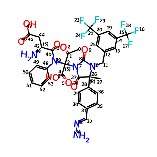 CC(=O)[C@@](C(=O)O)(N1C(=O)N(Cc2cc(C(F)(F)F)cc(C(F)(F)F)c2)[C@](C)(c2ccc(C=NN)cc2)C1=O)N(C(=O)[C@@H](N)CC(=O)O)c1ccccc1